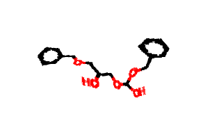 OC(COCc1ccccc1)COC(O)OCc1ccccc1